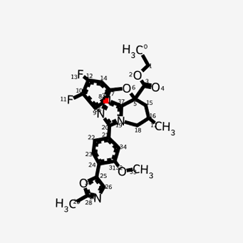 CCOC(=O)C1(Oc2ccc(F)c(F)c2)CC(C)Cn2c(-c3ccc(-c4cnc(C)o4)c(OC)c3)nnc21